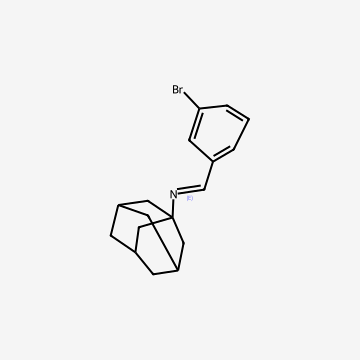 Brc1cccc(/C=N/C23CC4CC(CC(C4)C2)C3)c1